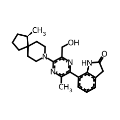 Cc1nc(N2CCC3(CCC[C@H]3C)CC2)c(CO)nc1-c1cccc2c1NC(=O)C2